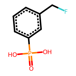 O=P(O)(O)c1cccc(CF)c1